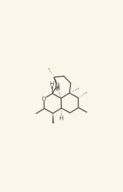 CC1C[C@H]2[C@@H](C)C(C)O[C@@H]3O[C@]4(C)CC[C@@](C)([C@@H]1C)[C@]32OO4